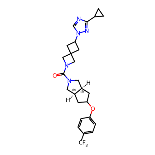 O=C(N1C[C@H]2CC(Oc3ccc(C(F)(F)F)cc3)C[C@H]2C1)N1CC2(CC(n3cnc(C4CC4)n3)C2)C1